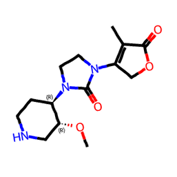 CO[C@@H]1CNCC[C@H]1N1CCN(C2=C(C)C(=O)OC2)C1=O